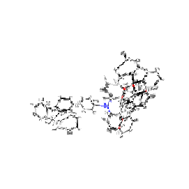 CC1C=CC2=C(C1)c1ccc(N(c3ccc(-c4ccc5c(c4)C(C)(c4ccccc4)c4ccccc4-5)cc3)c3ccccc3-c3cccc4cccc(C5CCCCC5)c34)cc1C2(c1ccccc1)c1ccccc1